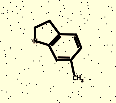 Cc1ccc2c(c1)[N]CC2